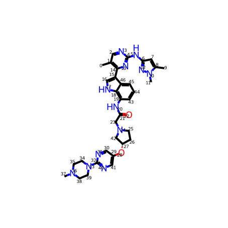 Cc1cnc(Nc2cc(C)n(C)n2)nc1-c1c[nH]c2c(NC(=O)CN3CC[C@H](Oc4cnc(N5CCN(C)CC5)nc4)C3)cccc12